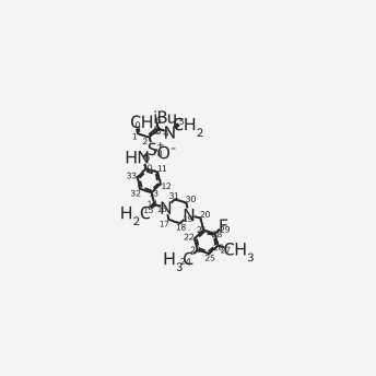 C=C/C(=C(/N=C)C(C)CC)[S+]([O-])Nc1ccc(C(=C)N2CCN(Cc3cc(C)cc(C)c3F)CC2)cc1